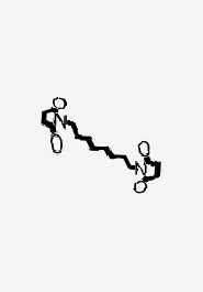 O=C1C=CC(=O)N1CCCCCCCCN1C(=O)C=CC1=O